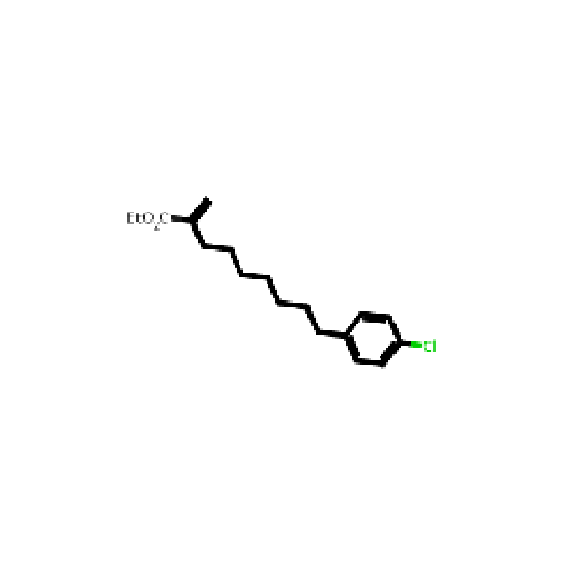 C=C(CCCCCCCc1ccc(Cl)cc1)C(=O)OCC